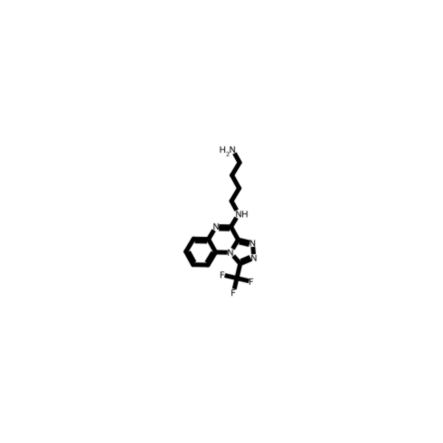 NCCCCNc1nc2ccccc2n2c(C(F)(F)F)nnc12